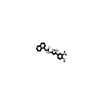 COc1ccc(-c2cc(NC(=O)Cc3cccc4ccccc34)n[nH]2)cc1N(C)C